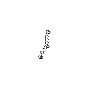 c1coc(-c2ccc3cc4cc5c(cc4cc3c2)sc2cc3cc4cc(-c6ccco6)ccc4cc3cc25)c1